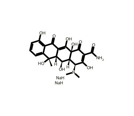 CN(C)[C@@H]1C(O)=C(C(N)=O)C(=O)[C@@]2(O)C(O)=C3C(=O)c4c(O)cccc4[C@@](C)(O)[C@H]3[C@H](O)[C@@H]12.[NaH].[NaH]